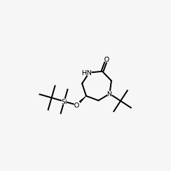 CC(C)(C)N1CC(=O)NC[C@H](O[Si](C)(C)C(C)(C)C)C1